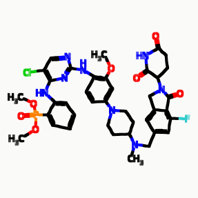 COc1cc(N2CCC(N(C)Cc3cc(F)c4c(c3)CN(C3CCC(=O)NC3=O)C4=O)CC2)ccc1Nc1ncc(Cl)c(Nc2ccccc2P(=O)(OC)OC)n1